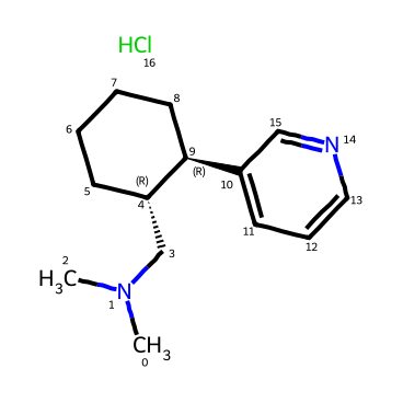 CN(C)C[C@@H]1CCCC[C@H]1c1cccnc1.Cl